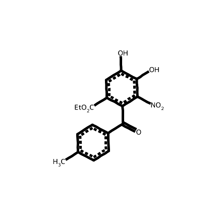 CCOC(=O)c1cc(O)c(O)c([N+](=O)[O-])c1C(=O)c1ccc(C)cc1